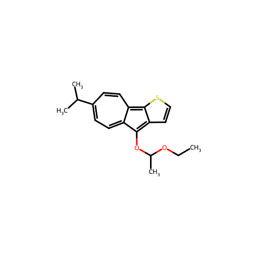 CCOC(C)Oc1c2ccc(C(C)C)ccc-2c2sccc12